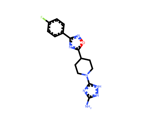 Nc1n[nH]c(N2CCC(c3nc(-c4ccc(F)cc4)no3)CC2)n1